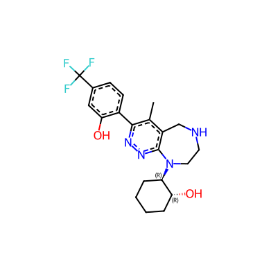 Cc1c(-c2ccc(C(F)(F)F)cc2O)nnc2c1CNCCN2[C@@H]1CCCC[C@H]1O